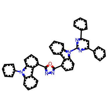 c1ccc(-c2cc(-c3ccccc3)nc(-n3c4ccccc4c4c(-c5nnc(-c6cccc7c6c6ccccc6n7-c6ccccc6)o5)cccc43)n2)cc1